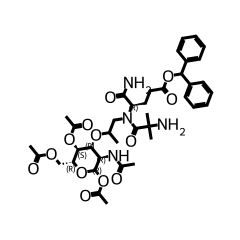 CC(=O)N[C@H]1[C@@H](OC(C)=O)O[C@H](COC(C)=O)[C@@H](OC(C)=O)[C@@H]1OC(C)CN(C(=O)C(C)(C)N)[C@H](CCC(=O)OC(c1ccccc1)c1ccccc1)C(N)=O